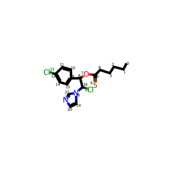 CCCCCC(=S)OC(c1ccc(Cl)cc1)C(Cl)n1ccnc1